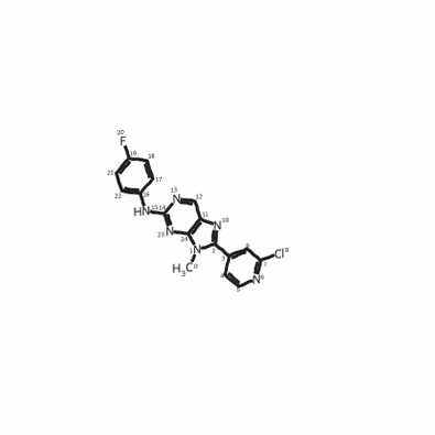 Cn1c(-c2ccnc(Cl)c2)nc2cnc(Nc3ccc(F)cc3)nc21